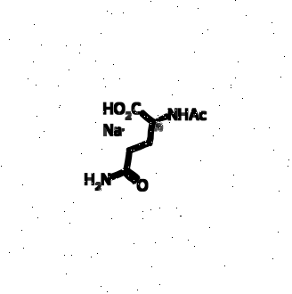 CC(=O)N[C@@H](CCC(N)=O)C(=O)O.[Na]